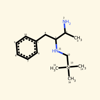 CC(N)C(Cc1ccccc1)NC[Si](C)(C)C